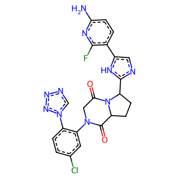 Nc1ccc(-c2cnc(C3CCC4C(=O)N(c5cc(Cl)ccc5-n5cnnn5)CC(=O)N43)[nH]2)c(F)n1